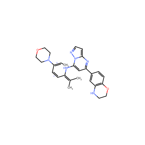 C/C=C(\C=C/C(Nc1cc(-c2ccc3c(c2)NCCO3)nc2ccnn12)=C(C)C)N1CCOCC1